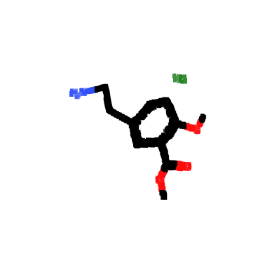 COC(=O)c1cc(CCN)ccc1OC.Cl